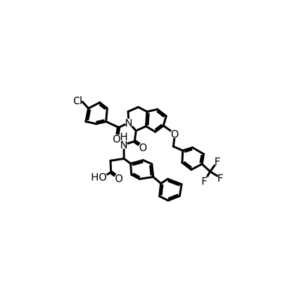 O=C(O)CC(NC(=O)C1c2cc(OCc3ccc(C(F)(F)F)cc3)ccc2CCN1C(=O)c1ccc(Cl)cc1)c1ccc(-c2ccccc2)cc1